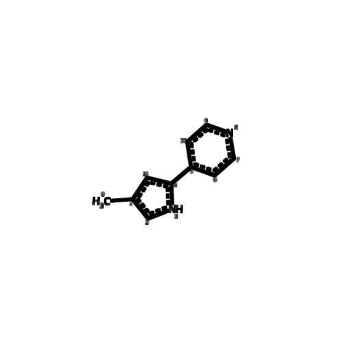 Cc1c[nH]c(-c2ccncc2)c1